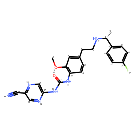 COc1cc(CCN[C@H](C)c2ccc(F)cc2)ccc1NC(=O)Nc1cnc(C#N)cn1